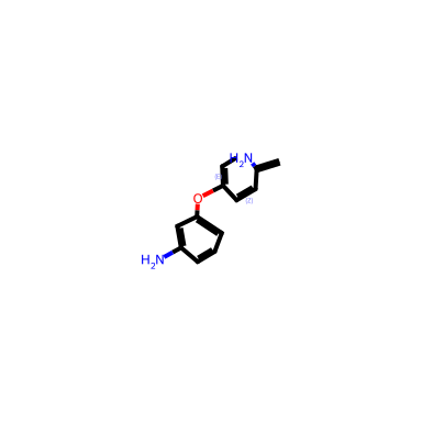 C=C(N)/C=C\C(=C/C)Oc1cccc(N)c1